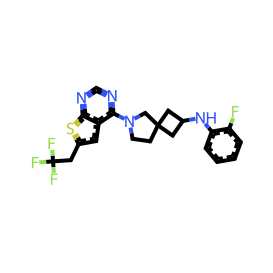 Fc1ccccc1NC1CC2(CCN(c3ncnc4sc(CC(F)(F)F)cc34)C2)C1